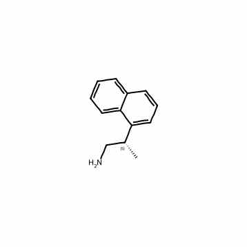 C[C@H](CN)c1cccc2ccccc12